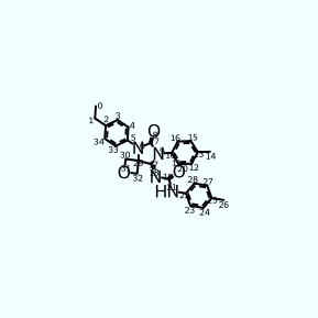 CCc1ccc(N2C(=O)N(c3ccc(C)cc3)/C(=N\C(=O)Nc3ccc(C)cc3)C23COC3)cc1